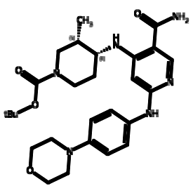 C[C@H]1CN(C(=O)OC(C)(C)C)CC[C@H]1Nc1cc(Nc2ccc(N3CCOCC3)cc2)ncc1C(N)=O